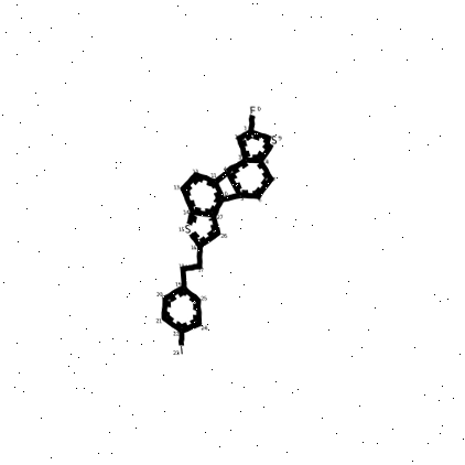 Fc1cc2c3c(ccc2s1)-c1c-3ccc2sc(CCc3ccc(I)cc3)cc12